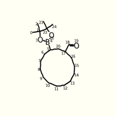 CC1(C)OB(C2CCCCCCCCCCCC(C=O)C2)OC1(C)C